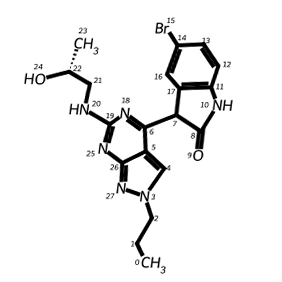 CCCn1cc2c(C3C(=O)Nc4ccc(Br)cc43)nc(NC[C@@H](C)O)nc2n1